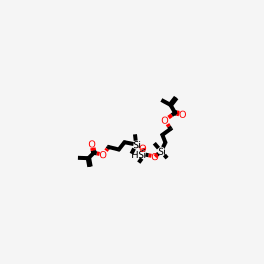 C=C(C)C(=O)OCCC[Si](C)(C)O[SiH](C)O[Si](C)(C)CCCOC(=O)C(=C)C